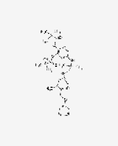 CN(CC(=O)NCC(C)(C)Nc1ccc(OC(=O)C(C)(C)C)c(OC(=O)C(C)(C)C)c1)C(=O)COc1ccccc1